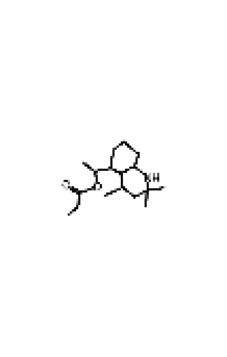 CCC(=O)OC(C)C1CCCC2NC(C)(C)CC(C)C21